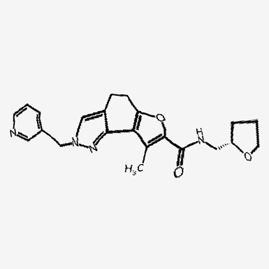 Cc1c(C(=O)NC[C@@H]2CCCO2)oc2c1-c1nn(Cc3cccnc3)cc1CC2